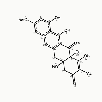 COc1cc(O)c2c(O)c3c(cc2c1)CC1(O)CC(=O)C(C(C)=O)=C(O)C1(O)C3=O